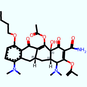 C=C(C)OC1=C(C(N)=O)C(=O)[C@@]2(O)C(OC(C)=O)=C3C(=O)c4c(OCCCC)ccc(N(C)C)c4C[C@H]3C[C@H]2C1N(C)C